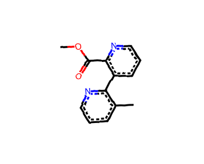 COC(=O)c1ncccc1-c1ncccc1C